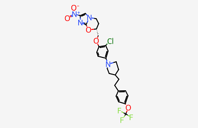 O=[N+]([O-])c1cn2c(n1)O[C@@H](COc1ccc(N3CCC(CCc4ccc(OC(F)(F)F)cc4)CC3)cc1Cl)CC2